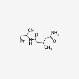 CC(C)CC(C#N)NC(=O)[CH]C(C)CC(N)=O